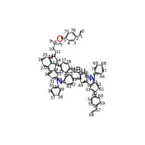 C=Cc1ccc(OCC(C)CCC(C)CC2(c3ccc(C(C)(C)C)cc3)c3ccccc3-c3ccc(N(c4ccccc4)c4ccc(-c5ccc6c(c5)c5cc(-c7ccc(C=C)cc7)ccc5n6-c5ccccc5)cc4)cc32)cc1